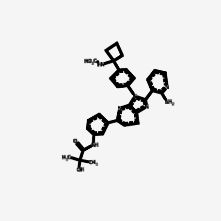 CC(C)(O)C(=O)Nc1cccc(-c2ccc3nc(-c4cccnc4N)n(-c4ccc(C5(NC(=O)O)CCC5)cc4)c3n2)c1